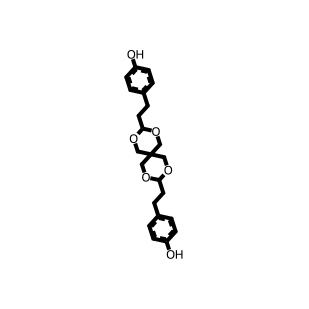 Oc1ccc(CCC2OCC3(CO2)COC(CCc2ccc(O)cc2)OC3)cc1